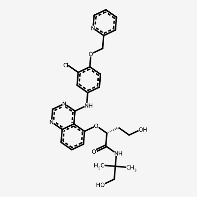 CC(C)(CO)NC(=O)[C@@H](CCO)Oc1cccc2ncnc(Nc3ccc(OCc4ccccn4)c(Cl)c3)c12